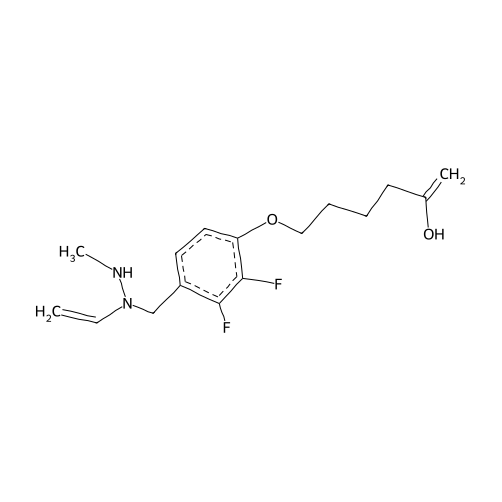 C=CN(Cc1ccc(OCCCCC(=C)O)c(F)c1F)NC